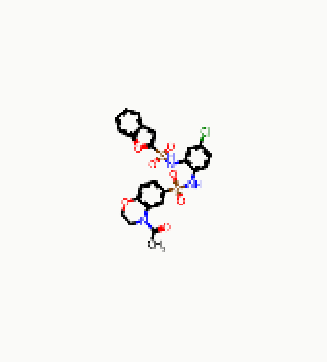 CC(=O)N1CCOc2ccc(S(=O)(=O)Nc3ccc(Cl)cc3NS(=O)(=O)c3cc4ccccc4o3)cc21